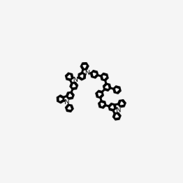 c1ccc(-c2cc(-c3cccc(-c4ccc(-n5c6ccccc6c6cc(-n7c8ccccc8c8cc(-c9ccc%10c(c9)c9ccccc9n%10-c9ccccc9)ccc87)ccc65)cc4)c3)cc(-c3cccc(-c4cccc(-c5cc6c7ccccc7n7c8ccccc8c(c5)c67)c4)c3)c2)cc1